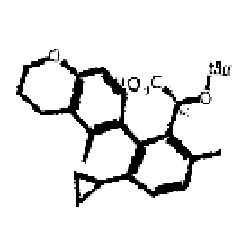 Cc1ccc(C2CC2)c(-c2ccc3c(c2C)CCCO3)c1[C@H](OC(C)(C)C)C(=O)O